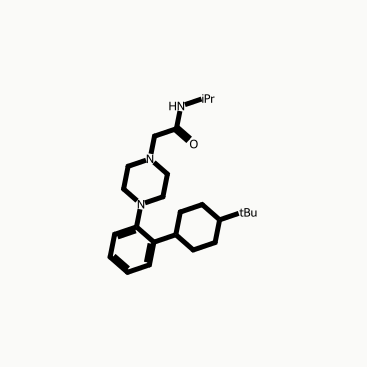 CC(C)NC(=O)CN1CCN(c2ccccc2C2CCC(C(C)(C)C)CC2)CC1